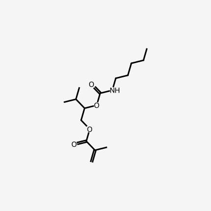 C=C(C)C(=O)OCC(OC(=O)NCCCCC)C(C)C